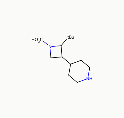 CC(C)(C)C1C(C2CCNCC2)CN1C(=O)O